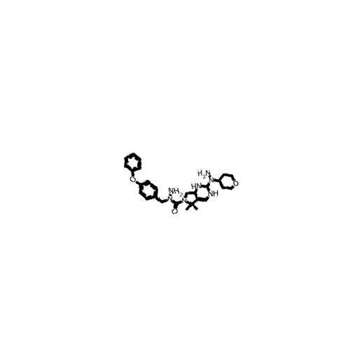 CC1(C)C2=CNC(N(N)C3CCOCC3)NC2CN1C(=O)N(N)Cc1ccc(Oc2ccccc2)cc1